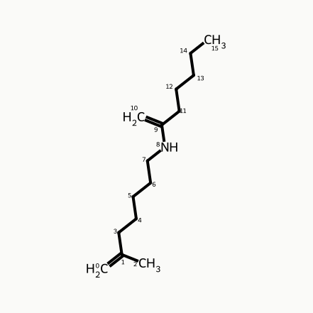 C=C(C)CCCCCNC(=C)CCCCC